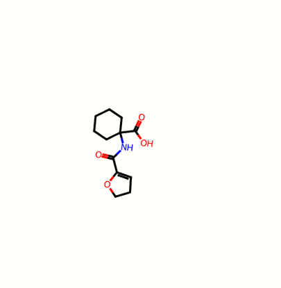 O=C(NC1(C(=O)O)CCCCC1)C1=CCCO1